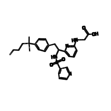 CCCCC(C)(C)c1ccc(CC(NS(=O)(=O)c2cccnc2)c2cccc(NCC(=O)O)n2)cc1